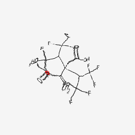 C=C(C(=O)O)C(C(=O)O)(C(C(F)(F)F)C(F)(F)F)C(C(F)(F)F)C(F)(F)F